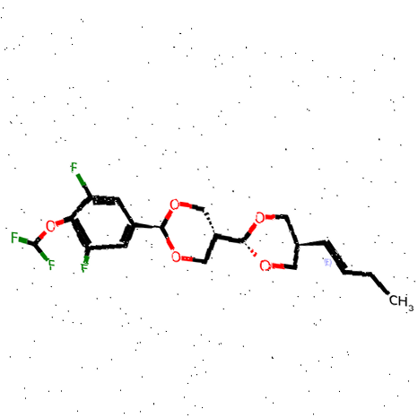 CC/C=C/[C@H]1CO[C@H]([C@H]2CO[C@H](c3cc(F)c(OC(F)F)c(F)c3)OC2)OC1